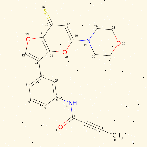 CC#CC(=O)Nc1cccc(-c2coc3c(=S)cc(N4CCOCC4)oc23)c1